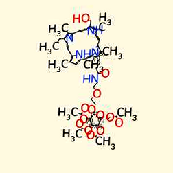 CCC1=C(C)c2cc3[nH]c(cc4nc(c(C)c5cc(C)c(cc1n2)[nH]5)[C@@H](CCC(=O)NCCOCCO[C@@H]1O[C@H](COC(C)=O)[C@@H](OC(C)=O)[C@H](OC(C)=O)[C@H]1OC(C)=O)[C@@H]4C)c(C)c3CO